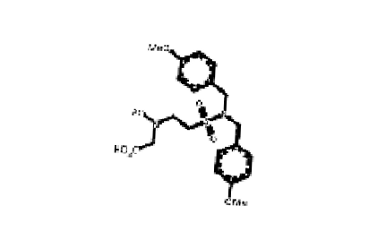 COc1ccc(CN(Cc2ccc(OC)cc2)S(=O)(=O)CCN(CC(=O)O)C(C)=O)cc1